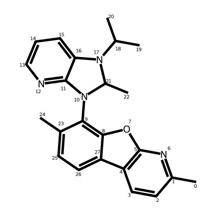 Cc1ccc2c(n1)oc1c(N3c4ncccc4N(C(C)C)C3C)c(C)ccc12